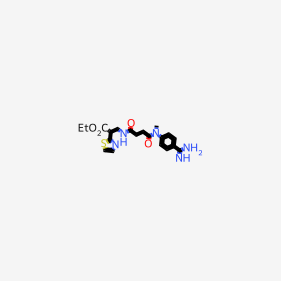 CCOC(=O)C(CNC(=O)CCC(=O)N(C)c1ccc(C(=N)N)cc1)c1nccs1